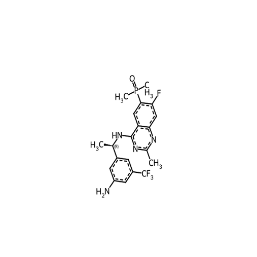 Cc1nc(N[C@H](C)c2cc(N)cc(C(F)(F)F)c2)c2cc(P(C)(C)=O)c(F)cc2n1